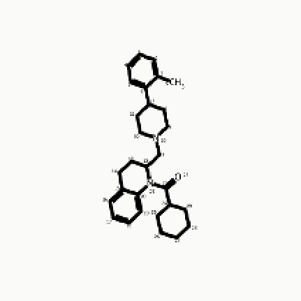 Cc1ccccc1C1CCN(CC2CCc3ccccc3N2C(=O)C2CCCCC2)CC1